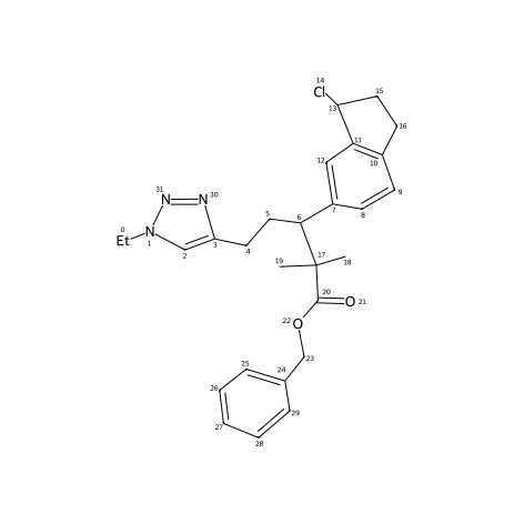 CCn1cc(CCC(c2ccc3c(c2)C(Cl)CC3)C(C)(C)C(=O)OCc2ccccc2)nn1